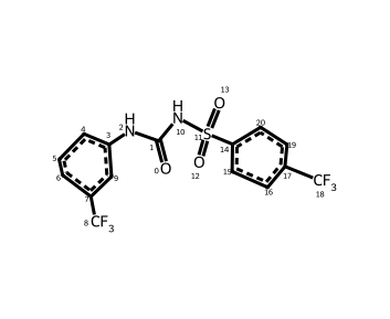 O=C(Nc1cccc(C(F)(F)F)c1)NS(=O)(=O)c1ccc(C(F)(F)F)cc1